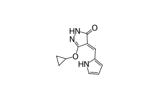 O=C1NN=C(OC2CC2)/C1=C\c1ccc[nH]1